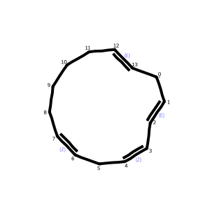 [CH]1/C=C/C=C\C/C=C\CCCC/C=C/1